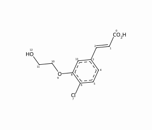 O=C(O)C=Cc1ccc(Cl)c(OCCO)c1